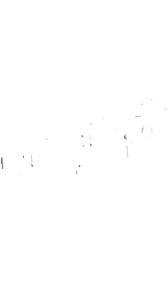 COC(=O)CC1(O)CCN(c2ccc(N)cc2Cl)CC1